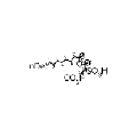 CCCCCCCCCCCCCCCCCC(=O)OC(=O)C(CC(=O)O)S(=O)(=O)O